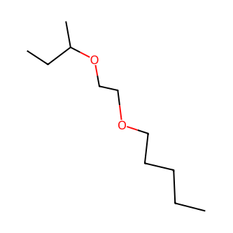 CCCCCOCCOC(C)CC